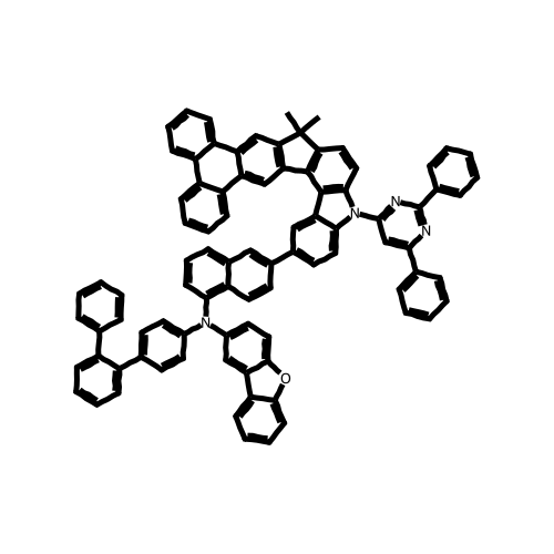 CC1(C)c2cc3c4ccccc4c4ccccc4c3cc2-c2c1ccc1c2c2cc(-c3ccc4c(N(c5ccc(-c6ccccc6-c6ccccc6)cc5)c5ccc6oc7ccccc7c6c5)cccc4c3)ccc2n1-c1cc(-c2ccccc2)nc(-c2ccccc2)n1